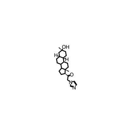 C[C@@]1(O)CC[C@@H]2C3CC[C@@]4(C)C(CC[C@@H]4C(=O)Cn4ccnc4)C3CC[C@@H]2C1